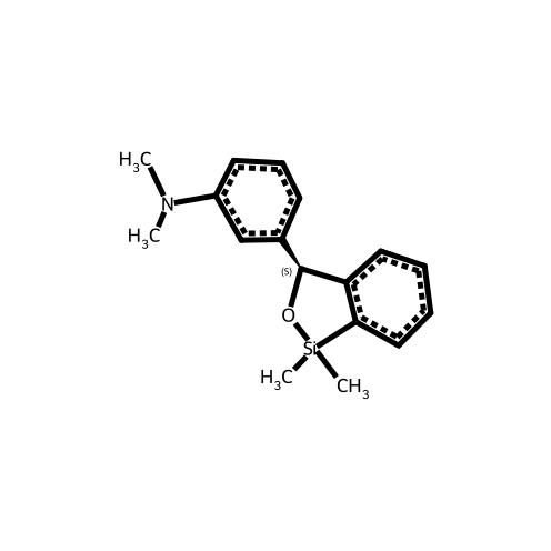 CN(C)c1cccc([C@@H]2O[Si](C)(C)c3ccccc32)c1